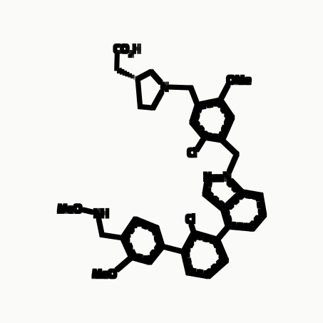 CONCc1ccc(-c2cccc(-c3cccc4c3cnn4Cc3cc(OC)c(CN4CC[C@H](CC(=O)O)C4)cc3Cl)c2Cl)cc1OC